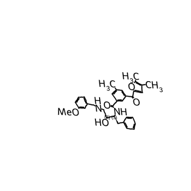 COc1cccc(CNC[C@@H](O)[C@H](Cc2ccccc2)NC(=O)c2cc(C)cc(C(=O)c3cc(C)c(C)o3)c2)c1